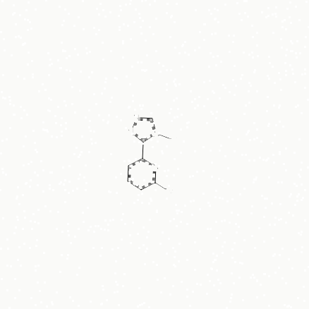 CC(C)n1cnnc1-c1cccc(Br)n1